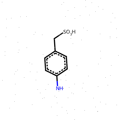 [NH]c1ccc(CS(=O)(=O)O)cc1